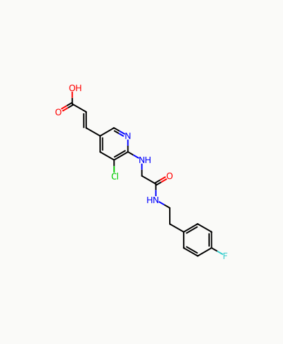 O=C(O)/C=C/c1cnc(NCC(=O)NCCc2ccc(F)cc2)c(Cl)c1